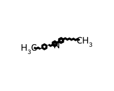 CCCCCCCCc1ccc(-c2ccc(CC[C@H]3CC[C@H](CCCC)CC3)cn2)cc1